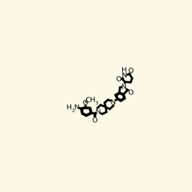 COc1cc(C(=O)N2CCC3(CC2)CCN(c2ccc4c(c2)CN(C2CCC(=O)NC2=O)C4=O)CC3)ccc1N